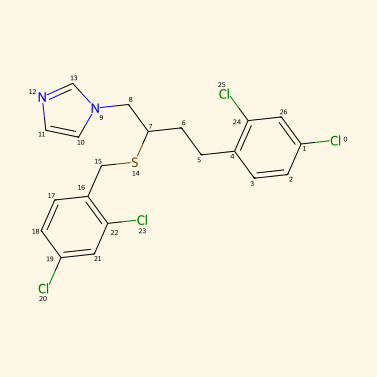 Clc1ccc(CCC(Cn2ccnc2)SCc2ccc(Cl)cc2Cl)c(Cl)c1